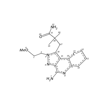 COCCn1nc2c(N)nc3ccccc3c2c1CC(C)(C)C(N)=O